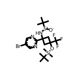 CC(C)(C)[S+]([O-])NC1(c2ncc(Br)cn2)CC(O[Si](C)(C)C(C)(C)C)(C(F)(F)F)C1